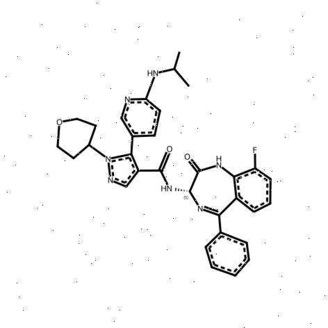 CC(C)Nc1ccc(-c2c(C(=O)N[C@H]3N=C(c4ccccc4)c4cccc(F)c4NC3=O)cnn2C2CCOCC2)cn1